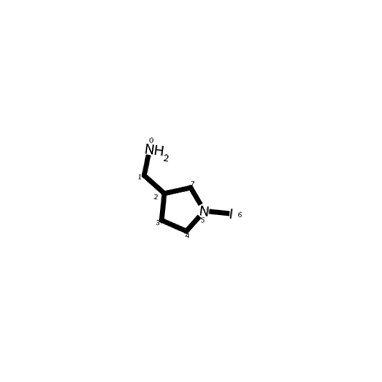 NCC1CCN(I)C1